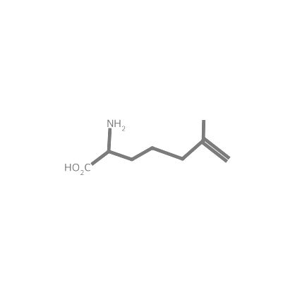 C=C(C)CCCC(N)C(=O)O